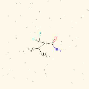 CC1(C)C(C(N)=O)C1(F)F